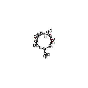 CC[C@H](C)[C@H]1CN[C@@H](CC(C)C)C(C)NCC2[C@@H](C(=O)N3CCCCC3)C(C)N2[C@@H](C(C)C)C(C)NC2(CCCC2)CNCCNC=CC(CCc2ccc(C(F)(F)F)c(Cl)c2)=NC=CN(C)C=C(CC2CCCCC2)N(C)C=C2CCCN2[C@@H](CC2CCCC2)C(C)N1